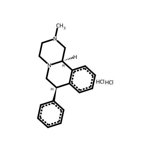 CN1CCN2C[C@H](c3ccccc3)c3ccccc3[C@@H]2C1.Cl.Cl